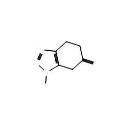 Cn1nnc2c1CC(=O)CC2